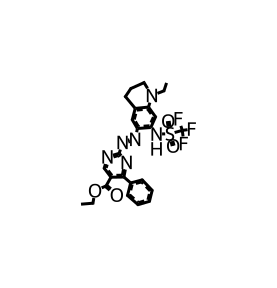 CCOC(=O)c1cnc(N=Nc2cc3c(cc2NS(=O)(=O)C(F)(F)F)N(CC)CCC3)nc1-c1ccccc1